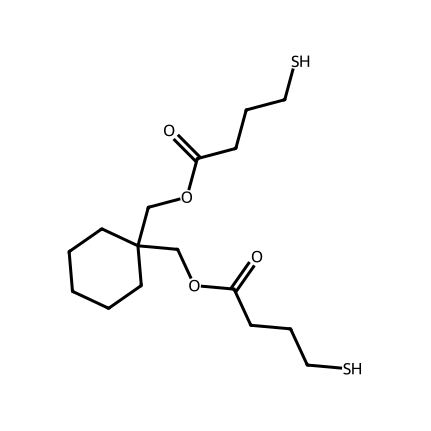 O=C(CCCS)OCC1(COC(=O)CCCS)CCCCC1